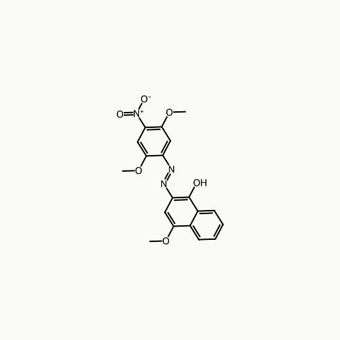 COc1cc([N+](=O)[O-])c(OC)cc1N=Nc1cc(OC)c2ccccc2c1O